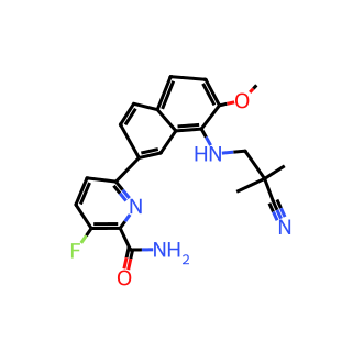 COc1ccc2ccc(-c3ccc(F)c(C(N)=O)n3)cc2c1NCC(C)(C)C#N